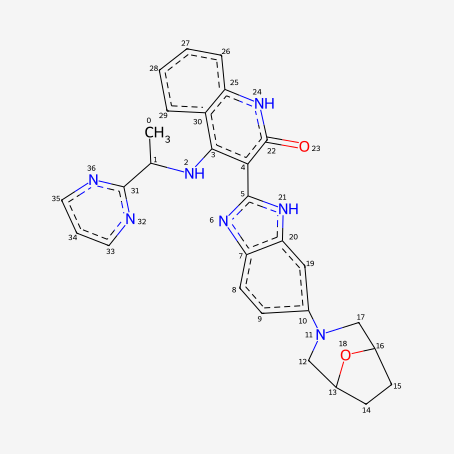 CC(Nc1c(-c2nc3ccc(N4CC5CCC(C4)O5)cc3[nH]2)c(=O)[nH]c2ccccc12)c1ncccn1